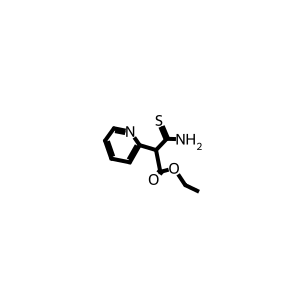 CCOC(=O)C(C(N)=S)c1ccccn1